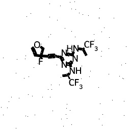 C[C@@H](Nc1nc(C#CC2(F)C=COC2)nc(N[C@H](C)C(F)(F)F)n1)C(F)(F)F